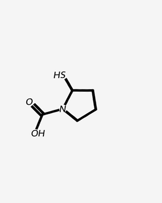 O=C(O)N1CCCC1S